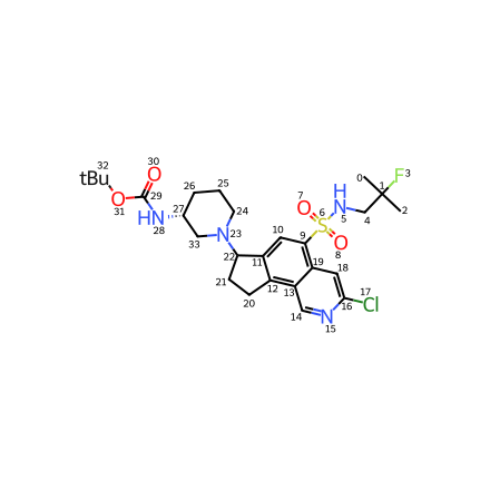 CC(C)(F)CNS(=O)(=O)c1cc2c(c3cnc(Cl)cc13)CCC2N1CCC[C@@H](NC(=O)OC(C)(C)C)C1